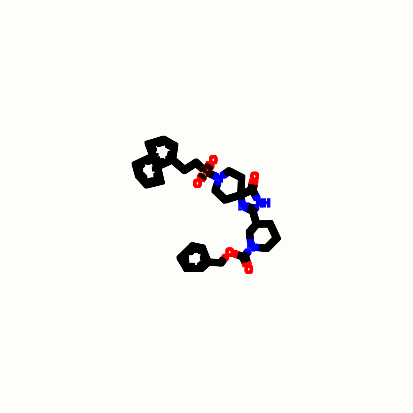 O=C(OCc1ccccc1)N1CCCC(C2=NC3(CCN(S(=O)(=O)CCc4cccc5ccccc45)CC3)C(=O)N2)C1